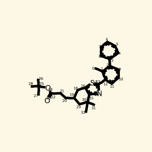 Cc1c(-c2ccccc2)cccc1-c1nc2c(s1)CC(CCC(=O)OC(C)(C)C)CC2(C)C